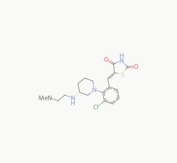 CNCCN[C@@H]1CCCN(c2c(Cl)cccc2/C=C2\SC(=O)NC2=O)C1